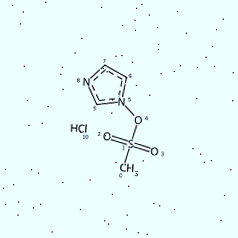 CS(=O)(=O)On1ccnc1.Cl